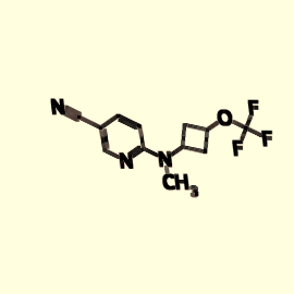 CN(c1ccc(C#N)cn1)C1CC(OC(F)(F)F)C1